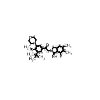 COc1c(N2CCOCC2)cc(C(=O)CN2Cc3cc(C)c(C)c(F)c3C2=N)cc1C(C)(C)C